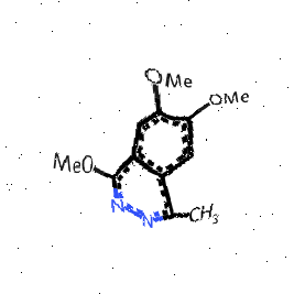 COc1cc2c(C)nnc(OC)c2cc1OC